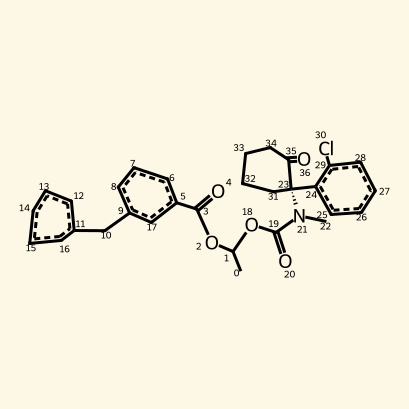 CC(OC(=O)c1cccc(Cc2ccccc2)c1)OC(=O)N(C)[C@]1(c2ccccc2Cl)CCCCC1=O